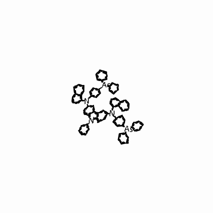 c1ccc(-n2c3ccc(N(c4ccc([As](c5ccccc5)c5ccccc5)cc4)c4cccc5ccccc45)cc3c3cc(N(c4ccc([As](c5ccccc5)c5ccccc5)cc4)c4cccc5ccccc45)ccc32)cc1